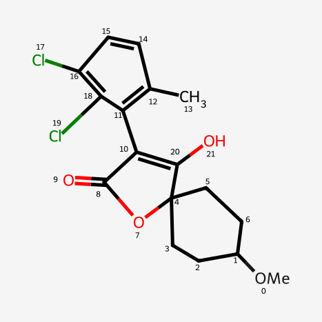 COC1CCC2(CC1)OC(=O)C(c1c(C)ccc(Cl)c1Cl)=C2O